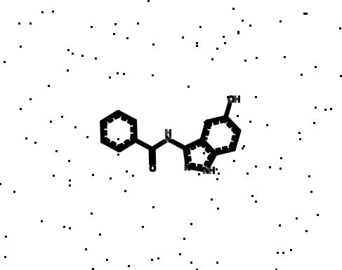 O=C(Nc1n[nH]c2ccc(O)cc12)c1ccccc1